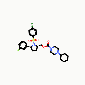 O=C(OC[C@H]1CC[C@@H](c2cccc(F)c2)N1S(=O)(=O)c1ccc(Cl)cc1)N1CCN(C2CCCCC2)CC1